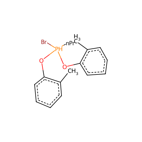 CCC[PH](Br)(Oc1ccccc1C)Oc1ccccc1C